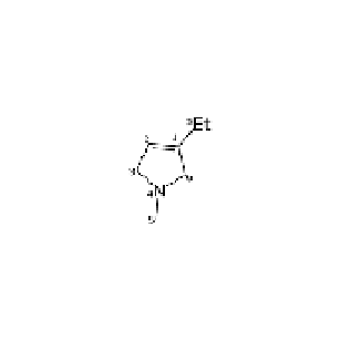 CCC1=CCN(C)C1